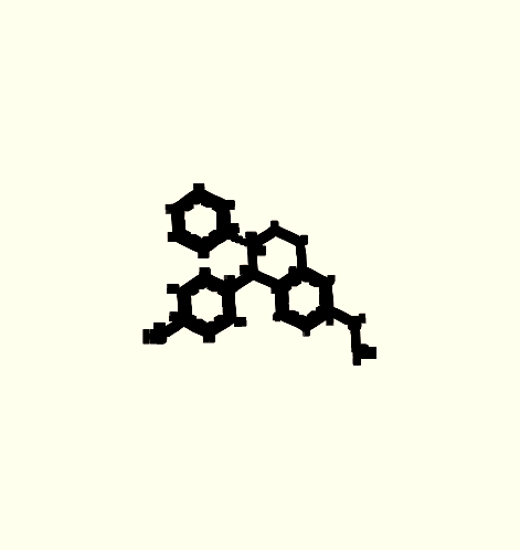 CC(C)(C)Oc1ccc2c(c1)CC[C@@H](c1ccccc1)C2c1ccc(O)cc1